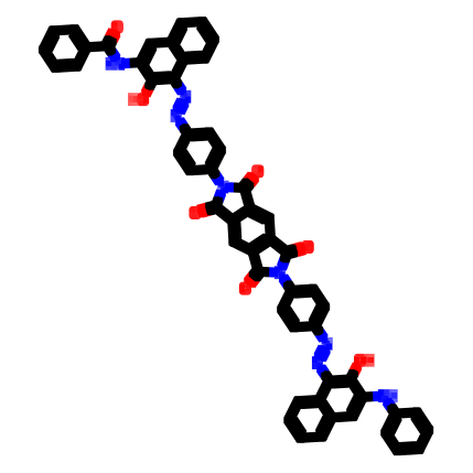 O=C(Nc1cc2ccccc2c(N=Nc2ccc(-n3c(=O)c4cc5c(=O)n(-c6ccc(N=Nc7c(O)c(Nc8ccccc8)cc8ccccc78)cc6)c(=O)c5cc4c3=O)cc2)c1O)c1ccccc1